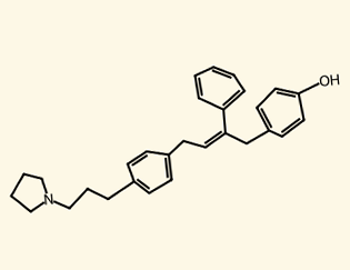 Oc1ccc(CC(=CCc2ccc(CCCN3CCCC3)cc2)c2ccccc2)cc1